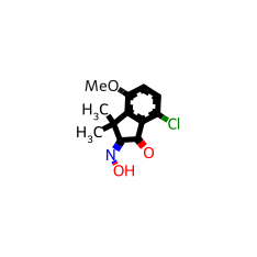 COc1ccc(Cl)c2c1C(C)(C)/C(=N/O)C2=O